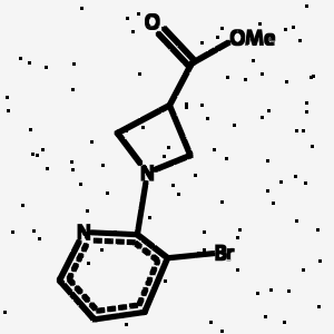 COC(=O)C1CN(c2ncccc2Br)C1